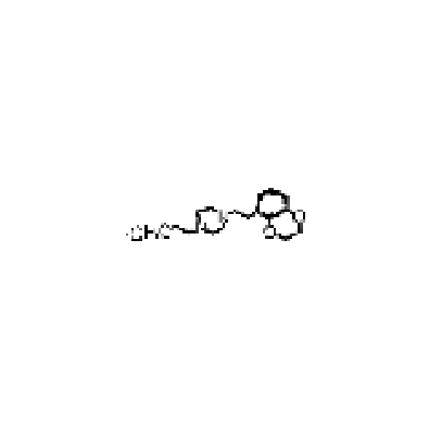 O=[C]CCN1CCN(CCc2cccc3c2OCCO3)CC1